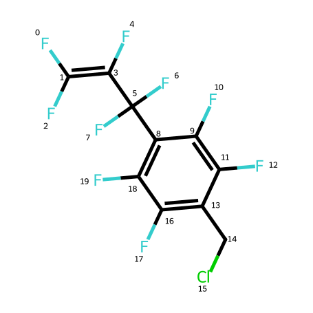 FC(F)=C(F)C(F)(F)c1c(F)c(F)c(CCl)c(F)c1F